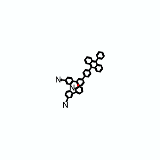 N#Cc1ccc(-c2cccc(-c3ccc(-c4c5ccccc5c(-c5ccccc5)c5ccccc45)cc3)c2)c(-n2c3ccccc3c3cc(C#N)ccc32)c1